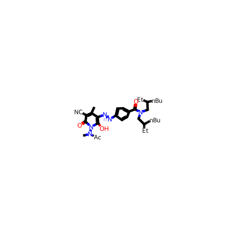 CCCCC(CC)CN(CC(CC)CCCC)C(=O)c1ccc(/N=N/c2c(C)c(C#N)c(=O)n(N(C)C(C)=O)c2O)cc1